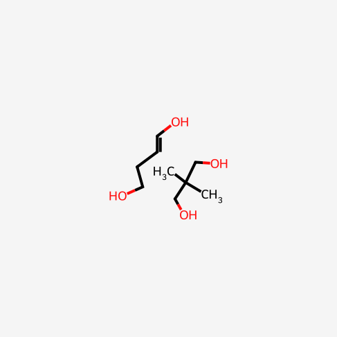 CC(C)(CO)CO.OC=CCCO